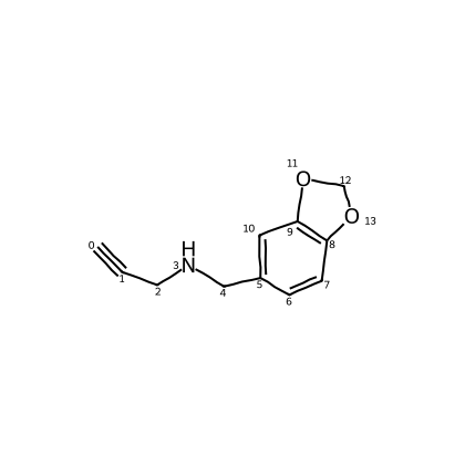 C#CCNCc1ccc2c(c1)OCO2